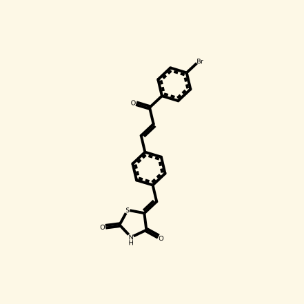 O=C1NC(=O)C(=Cc2ccc(C=CC(=O)c3ccc(Br)cc3)cc2)S1